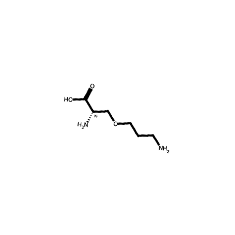 NCCCOC[C@H](N)C(=O)O